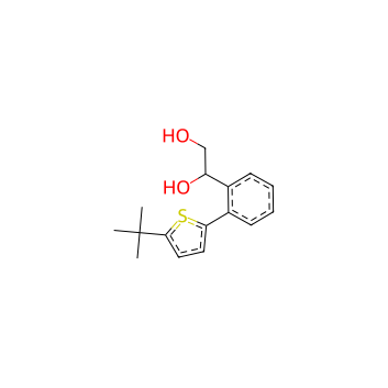 CC(C)(C)c1ccc(-c2ccccc2C(O)CO)s1